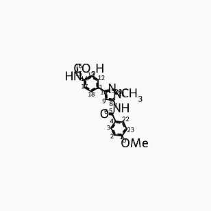 COc1ccc(C(=O)Nc2cc(-c3ccc(NC(=O)O)cc3)nn2C)cc1